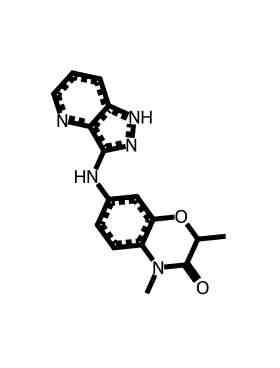 CC1Oc2cc(Nc3n[nH]c4cccnc34)ccc2N(C)C1=O